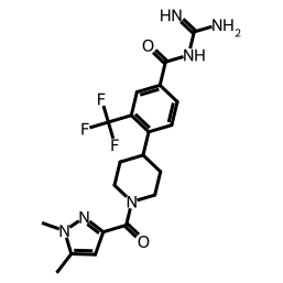 Cc1cc(C(=O)N2CCC(c3ccc(C(=O)NC(=N)N)cc3C(F)(F)F)CC2)nn1C